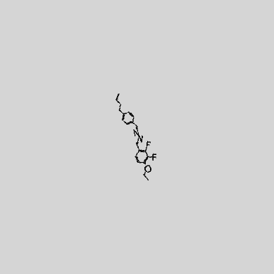 C=CCCc1ccc(C=NN=Cc2ccc(OCC)c(F)c2F)cc1